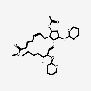 CCCC[C@@H](C)[C@@H](/C=C/[C@@H]1[C@@H](C/C=C\CCCC(=O)OC)[C@@H](SC(C)=O)C[C@H]1OC1CCCCO1)OC1CCCCO1